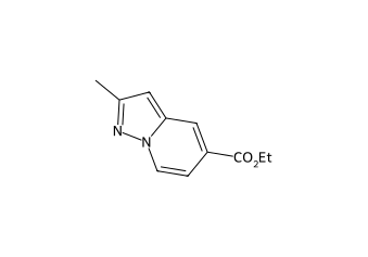 CCOC(=O)c1ccn2nc(C)cc2c1